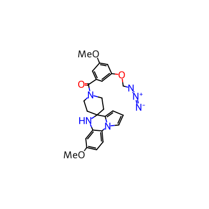 COc1cc(OCN=[N+]=[N-])cc(C(=O)N2CCC3(CC2)Nc2cc(OC)ccc2-n2cccc23)c1